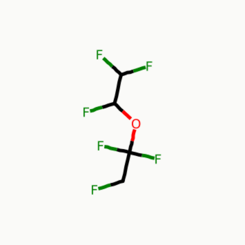 FCC(F)(F)OC(F)C(F)F